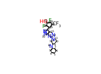 CN(c1ccccc1)C1CCCN(c2ncc3c(-c4cc(C(F)(F)F)c(F)c(O)c4F)nn(C)c3n2)C1